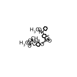 CON=C(c1ccccc1)c1ccc2c(c1)sc(=O)n2CCOc1ccc(CC(NC(C)=O)C(=O)OC)cc1